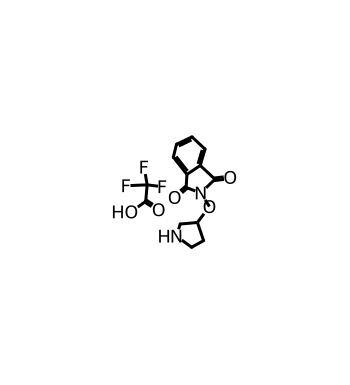 O=C(O)C(F)(F)F.O=C1c2ccccc2C(=O)N1OC1CCNC1